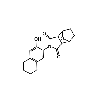 O=C1C2C3CCC(O3)C2C(=O)N1c1cc2c(cc1O)CCCC2